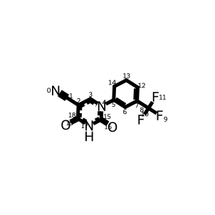 N#Cc1cn(C2=CC(C(F)(F)F)=CCC2)c(=O)[nH]c1=O